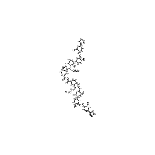 COCCn1c(Cc2cc(F)c(-c3ccc(F)c(OCc4cnc(-n5ccnn5)cc4Cl)c3)cc2F)nc2ccc(C(=O)OC(=O)c3ccc4nc(Cc5cc(F)c(-c6ccc(F)c(OCc7cnc(-n8ccnn8)cc7Cl)c6)cc5F)n(CCOC)c4c3)cc21